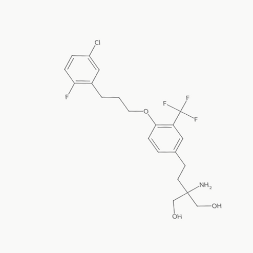 NC(CO)(CO)CCc1ccc(OCCCc2cc(Cl)ccc2F)c(C(F)(F)F)c1